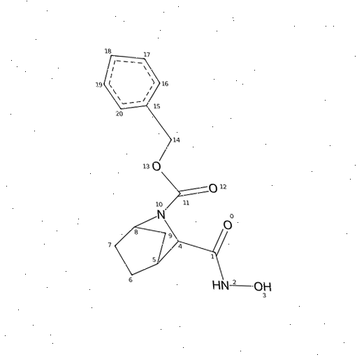 O=C(NO)C1C2CCC(C2)N1C(=O)OCc1ccccc1